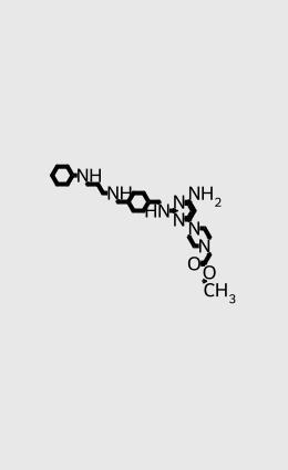 CCOC(=O)CN1CCN(c2cc(N)nc(NCC3CCC(CNCCCNC4CCCCC4)CC3)n2)CC1